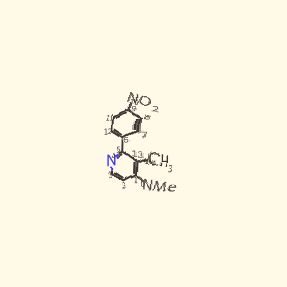 CNc1ccnc(-c2ccc([N+](=O)[O-])cc2)c1C